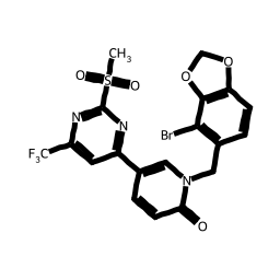 CS(=O)(=O)c1nc(-c2ccc(=O)n(Cc3ccc4c(c3Br)OCO4)c2)cc(C(F)(F)F)n1